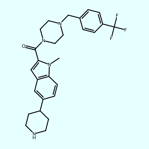 Cn1c(C(=O)N2CCN(Cc3ccc(C(F)(F)F)cc3)CC2)cc2cc(C3CCNCC3)ccc21